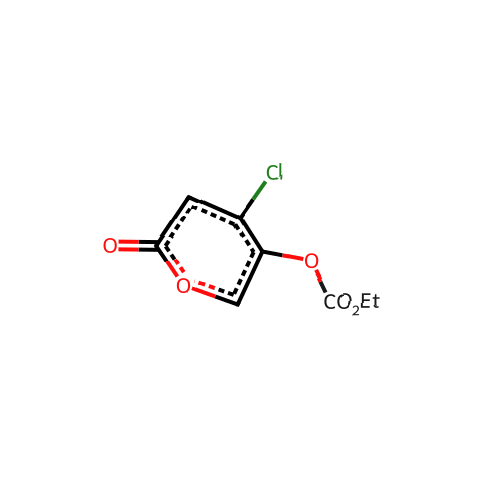 CCOC(=O)Oc1coc(=O)cc1Cl